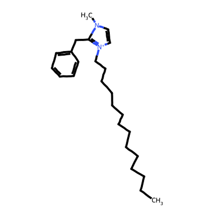 CCCCCCCCCCCCCC[n+]1ccn(C)c1Cc1ccccc1